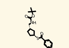 CC(C)(C)OC(=O)NC[C@H]1CC[C@H](SC(=O)c2ccccc2)C1